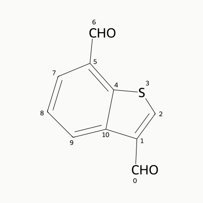 O=Cc1csc2c(C=O)cccc12